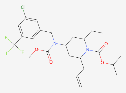 C=CCC1CC(N(Cc2cc(Cl)cc(C(F)(F)F)c2)C(=O)OC)CC(CC)N1C(=O)OC(C)C